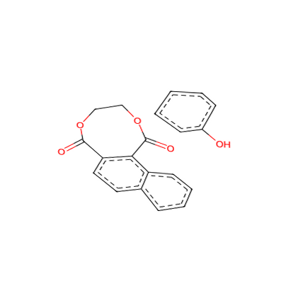 O=C1OCCOC(=O)c2c1ccc1ccccc21.Oc1ccccc1